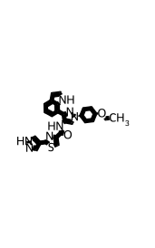 CCO[C@H]1CC[C@H](n2cc(NC(=O)c3csc(-c4cn[nH]c4)n3)c(-c3cccc4cc[nH]c34)n2)CC1